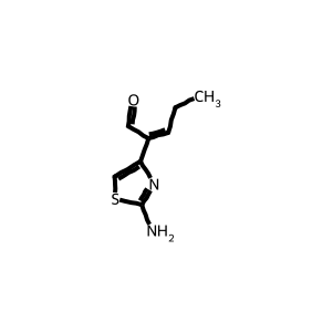 CC/C=C(\C=O)c1csc(N)n1